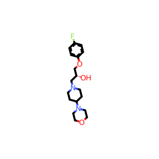 O[C@@H](COc1ccc(F)cc1)CN1CCC(N2CCOCC2)CC1